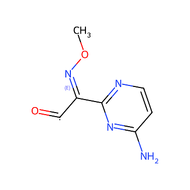 CO/N=C(/[C]=O)c1nccc(N)n1